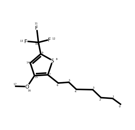 CCCCCCCc1sc(C(F)(F)F)cc1OC